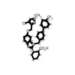 Cn1cc(Cl)c(COc2ccc3nc([C@@H]4CCCC[C@@H]4C(=O)O)n(Cc4ccc(-c5ccc(C(F)(F)F)cc5)cc4)c3c2)n1